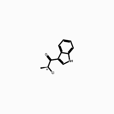 C[C@H](Cl)C(=O)c1c[nH]c2ccccc12